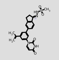 C=C(C)c1cc(-c2ccc3c(c2)CC/C3=N\NS(C)(=O)=O)cc(-n2ccc(=O)[nH]c2=O)c1